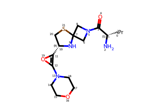 CC(C)[C@H](N)C(=O)N1CC2(C1)N[C@H](C1=C(N3CCOCC3)O1)CS2